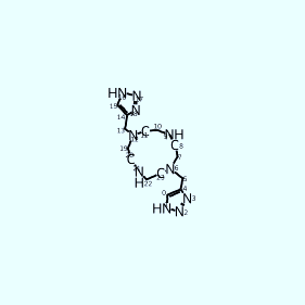 c1[nH]nnc1CN1CCNCCN(Cc2c[nH]nn2)CCNCC1